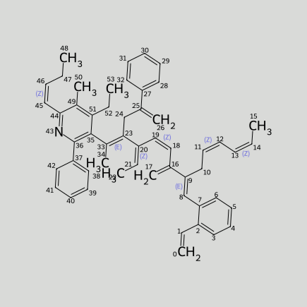 C=Cc1ccccc1/C=C(\C/C=C\C=C/C)C(=C)\C=C/C(=C/C)C(/CC(=C)c1ccccc1)=C(\C)c1c(-c2ccccc2)nc(/C=C\CC)c(C)c1CC